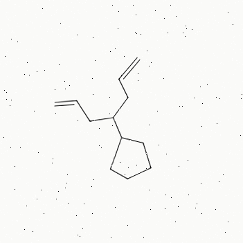 C=CCC(CC=C)C1CCCC1